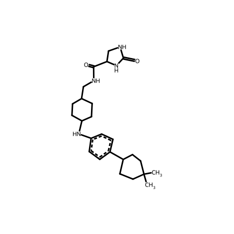 CC1(C)CCC(c2ccc(NC3CCC(CNC(=O)C4CNC(=O)N4)CC3)cc2)CC1